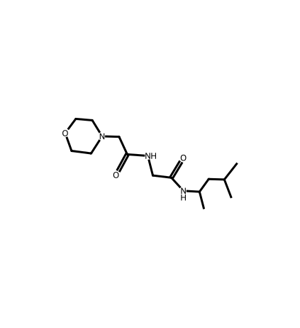 CC(C)CC(C)NC(=O)CNC(=O)CN1CCOCC1